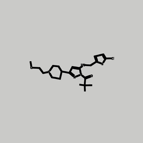 COCCN1CCC(c2cc(NCc3ccc(Cl)s3)n(C(=O)C(C)(C)C)n2)CC1